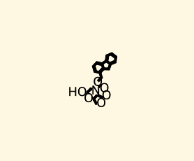 O=C1OCC2OC(O)CN(C(=O)OCc3cccc4c3Cc3ccccc3-4)C12